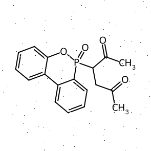 CC(=O)CC(C(C)=O)P1(=O)Oc2ccccc2-c2ccccc21